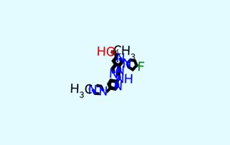 C[C@@H](O)c1cc2cnc(Nc3ccc(CN4CCN(C)CC4)cn3)nc2c(N2CCC(F)CC2)n1